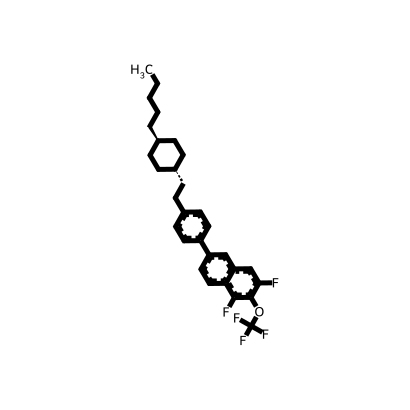 CCCCC[C@H]1CC[C@H](CCc2ccc(-c3ccc4c(F)c(OC(F)(F)F)c(F)cc4c3)cc2)CC1